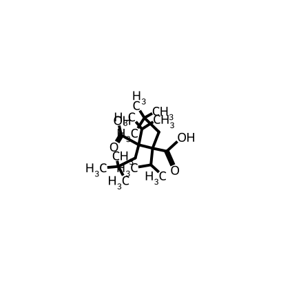 CC(C)C(CC(C)(C)C)(C(=O)O)C(CC(C)(C)C)(C(=O)O)C(C)C